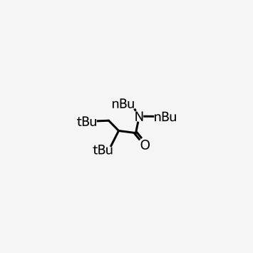 CCCCN(CCCC)C(=O)C(CC(C)(C)C)C(C)(C)C